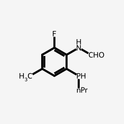 CCCPc1cc(C)cc(F)c1NC=O